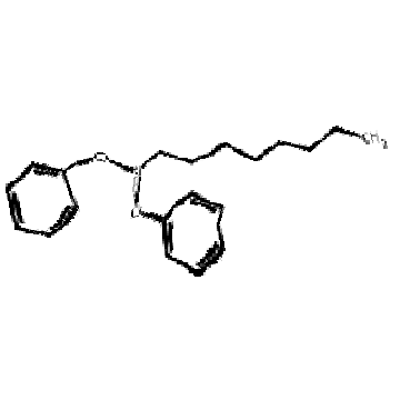 CCCCCCCC[SiH](Oc1ccccc1)Oc1ccccc1